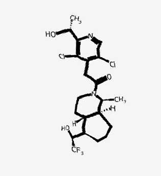 C[C@@H](O)c1ncc(Cl)c(CC(=O)N2CC[C@H]3[C@H]([C@H](O)C(F)(F)F)CCC[C@@H]3[C@@H]2C)c1Cl